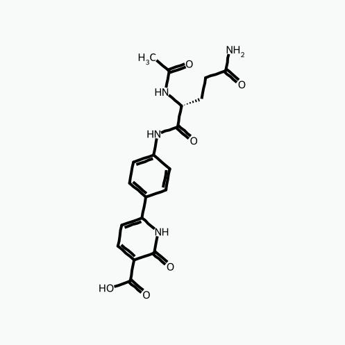 CC(=O)N[C@H](CCC(N)=O)C(=O)Nc1ccc(-c2ccc(C(=O)O)c(=O)[nH]2)cc1